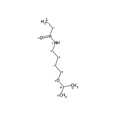 CCC(=O)NCCCCOC(C)C